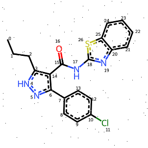 CCCc1[nH]nc(-c2ccc(Cl)cc2)c1C(=O)Nc1nc2ccccc2s1